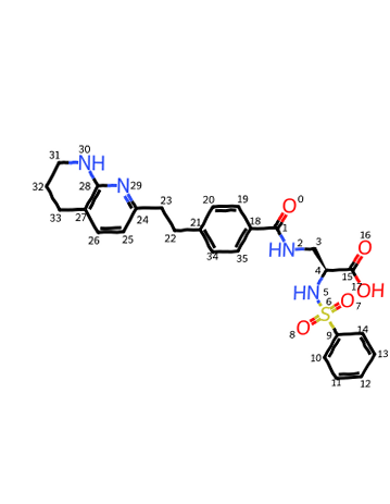 O=C(NC[C@H](NS(=O)(=O)c1ccccc1)C(=O)O)c1ccc(CCc2ccc3c(n2)NCCC3)cc1